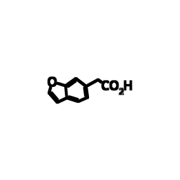 O=C(O)Cc1ccc2ccoc2c1